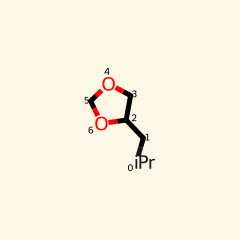 CC(C)CC1COCO1